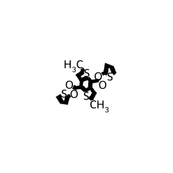 Cc1cc2c(C(=O)Oc3cccs3)c3sc(C)cc3c(C(=O)Oc3cccs3)c2s1